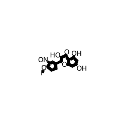 O=Nc1cc(-c2oc3cc(O)cc(O)c3c(=O)c2O)ccc1OF